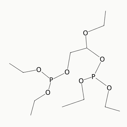 CCOC(COP(OCC)OCC)OP(OCC)OCC